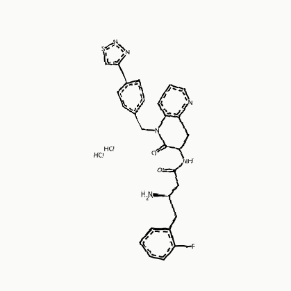 Cl.Cl.N[C@@H](CC(=O)NC1Cc2ncccc2N(Cc2ccc(-c3csnn3)cc2)C1=O)Cc1ccccc1F